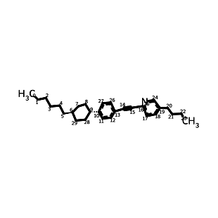 CCCCCC[C@H]1CC[C@H](c2ccc(C#Cc3ccc(CCCC)cn3)cc2)CC1